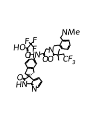 CNCc1ccccc1CN(CC(=O)Nc1ccc2c(c1)C[C@@]1(C2)C(=O)Nc2ncccc21)C(=O)C(C)(C)CC(F)(F)F.O=C(O)C(F)(F)F